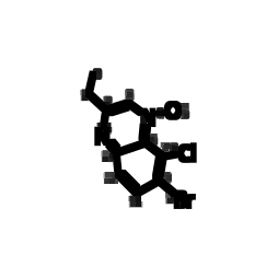 CCc1c[n+]([O-])c2c(Cl)c(Br)ccc2n1